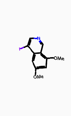 COc1cc(OC)c2cncc(I)c2c1